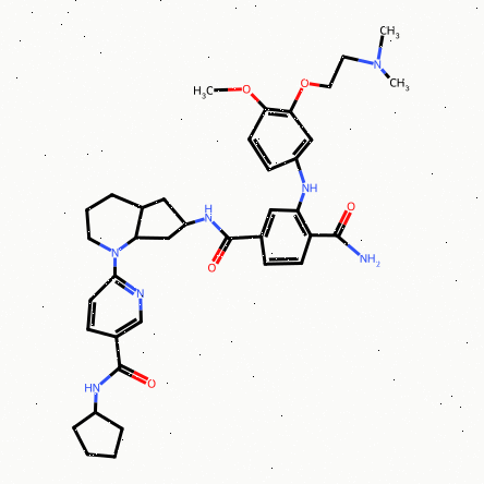 COc1ccc(Nc2cc(C(=O)NC3CC4CCCN(c5ccc(C(=O)NC6CCCC6)cn5)C4C3)ccc2C(N)=O)cc1OCCN(C)C